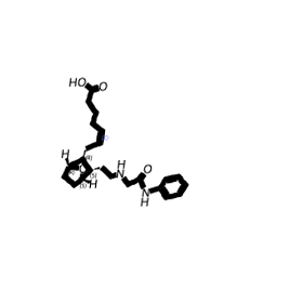 O=C(O)CCC/C=C\C[C@@H]1[C@H](CCNCC(=O)Nc2ccccc2)[C@@H]2CC[C@H]1O2